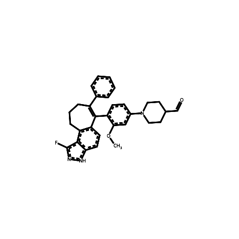 COc1cc(N2CCC(C=O)CC2)ccc1C1=C(c2ccccc2)CCCc2c1ccc1[nH]nc(F)c21